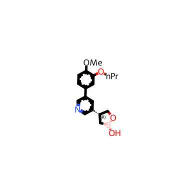 CCCOc1cc(-c2cncc([C@@H]3COB(O)C3)c2)ccc1OC